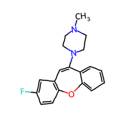 CN1CCN(C2=Cc3cc(F)ccc3Oc3ccccc32)CC1